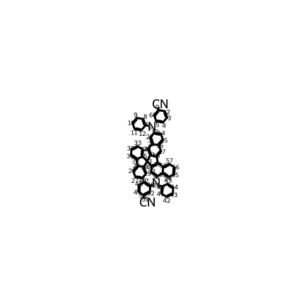 N#Cc1cccc(N(c2ccccc2)c2ccc3cc4c(cc3c2)C2(c3ccccc3-c3ccccc32)c2cc(N(c3ccccc3)c3cccc(C#N)c3)c3ccccc3c2-4)c1